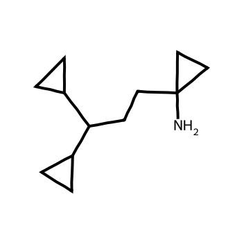 NC1(CCC(C2CC2)C2CC2)CC1